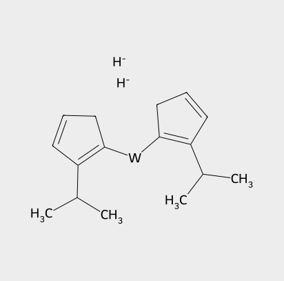 CC(C)C1=[C]([W][C]2=C(C(C)C)C=CC2)CC=C1.[H-].[H-]